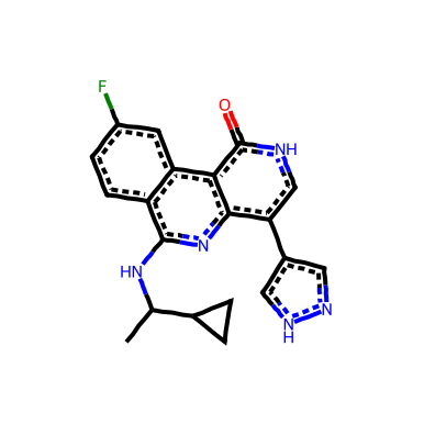 CC(Nc1nc2c(-c3cn[nH]c3)c[nH]c(=O)c2c2cc(F)ccc12)C1CC1